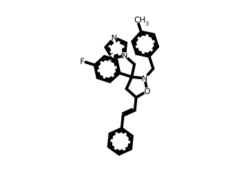 Cc1ccc(CN2OC(C=Cc3ccccc3)CC2(Cn2cncn2)c2ccc(F)cc2)cc1